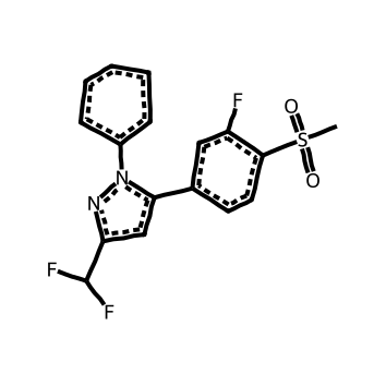 CS(=O)(=O)c1ccc(-c2cc(C(F)F)nn2-c2ccccc2)cc1F